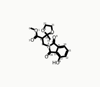 COC(=O)C(CN1C(=O)c2cccc(O)c2C1=O)C1(C)OCCO1